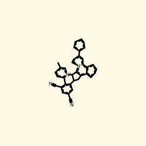 Cc1ccc2[n+](c1)C1c3c(c4ccccc4c4cc(-c5ccccc5)cc[n+]34)CC1c1cc(C#N)cc(C#N)c1-2